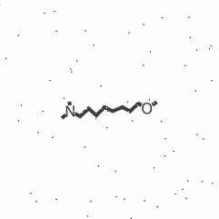 COCCCCCCCCN(C)C